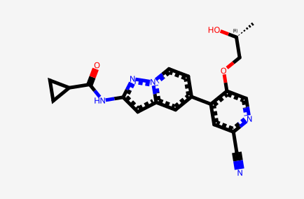 C[C@@H](O)COc1cnc(C#N)cc1-c1ccn2nc(NC(=O)C3CC3)cc2c1